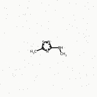 CBc1nsc(C)n1